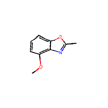 COc1cccc2oc(C)nc12